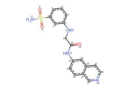 NS(=O)(=O)c1cccc(NCC(=O)Nc2ccc3cnccc3c2)c1